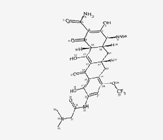 CN[C@@H]1C(O)=C(C(N)=O)C(=O)[C@H]2C(O)=C3C(=O)c4c(O)c(NC(=O)CN(C)C)cc(OC(F)(F)F)c4C[C@H]3C[C@H]21